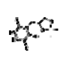 CC1(C)OCC(Cn2c(=S)[nH][nH]c(=O)c2=O)O1